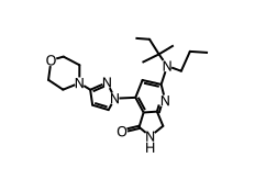 CCCN(c1cc(-n2ccc(N3CCOCC3)n2)c2c(n1)CNC2=O)C(C)(C)CC